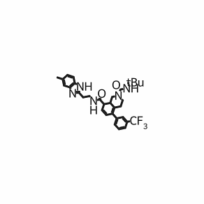 Cc1ccc2[nH]c(CCNC(=O)C3C=CC(c4cccc(C(F)(F)F)c4)=C4CCN(C(=O)NC(C)(C)C)CC43)nc2c1